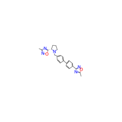 Cc1noc([C@@H]2CCCN2Cc2ccc(-c3ccc(-c4noc(C)n4)cc3)cc2)n1